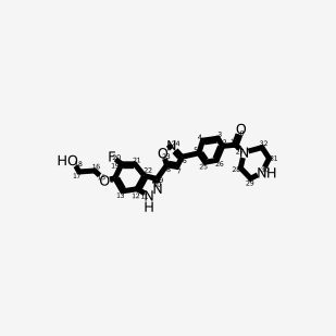 O=C(c1ccc(-c2cc(-c3n[nH]c4cc(OCCO)c(F)cc34)on2)cc1)N1CCNCC1